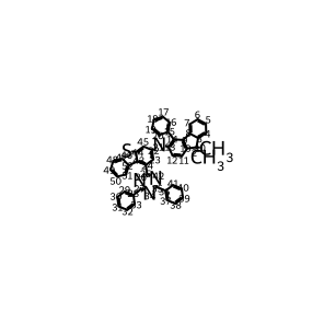 CC1(C)c2ccccc2-c2c1ccc1c2c2ccccc2n1-c1cc(-c2nc(-c3ccccc3)nc(-c3ccccc3)n2)c2c(c1)sc1ccccc12